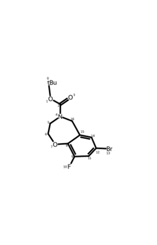 CC(C)(C)OC(=O)N1CCOc2c(F)cc(Br)cc2C1